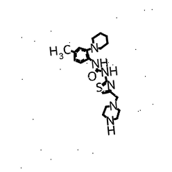 Cc1ccc(NC(=O)Nc2nc(CN3CCNCC3)cs2)c(N2CCCCC2)c1